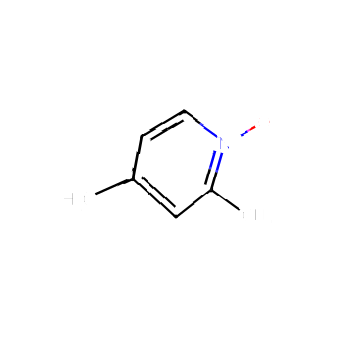 Cc1[c]c[n+]([O-])c(C)c1